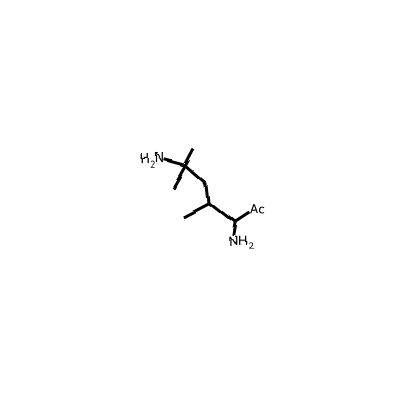 CC(=O)C(N)C(C)CC(C)(C)N